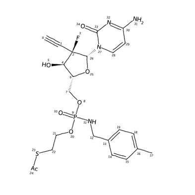 C#C[C@@]1(F)[C@H](O)[C@@H](COP(=O)(NCc2ccc(C)cc2)OCCSC(C)=O)O[C@H]1n1ccc(N)nc1=O